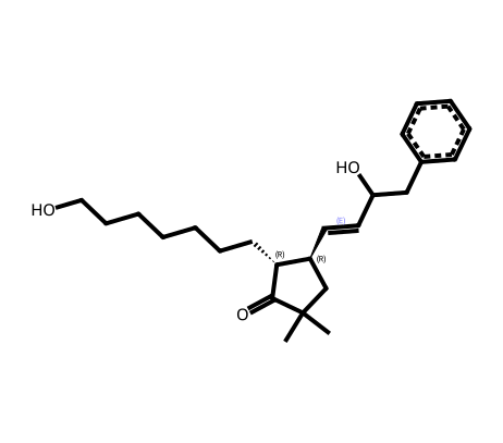 CC1(C)C[C@H](/C=C/C(O)Cc2ccccc2)[C@@H](CCCCCCCO)C1=O